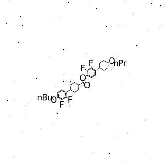 CCCCOc1ccc(C2CCC(C(=O)Oc3ccc(C4CCC(OCCC)CC4)c(F)c3F)CC2)c(F)c1F